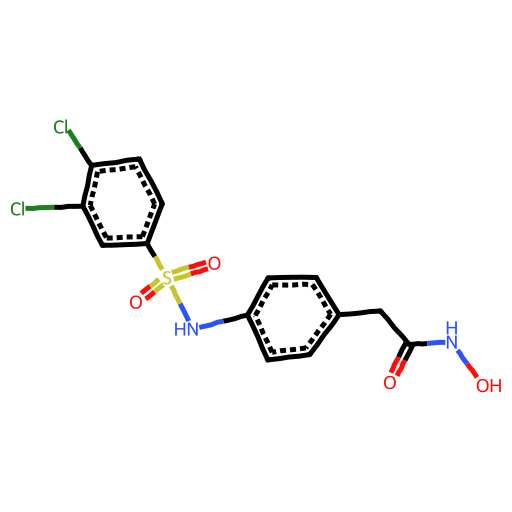 O=C(Cc1ccc(NS(=O)(=O)c2ccc(Cl)c(Cl)c2)cc1)NO